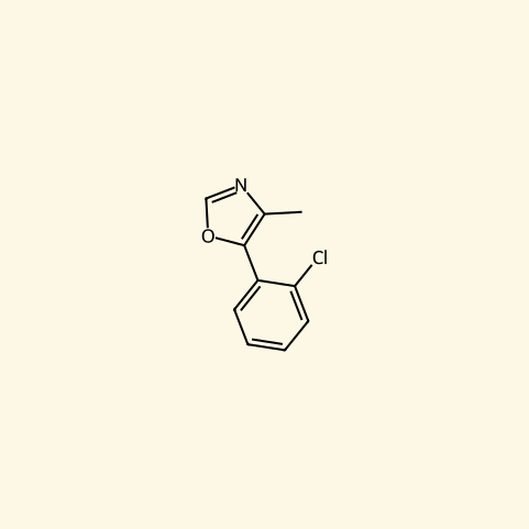 Cc1ncoc1-c1ccccc1Cl